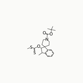 CSC(=S)OC1C(C)c2ccccc2C12CCN(C(=O)OC(C)(C)C)CC2